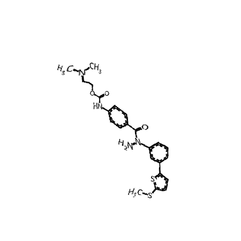 CSc1ccc(-c2cccc(N(N)C(=O)c3ccc(NC(=O)OCCN(C)C)cc3)c2)s1